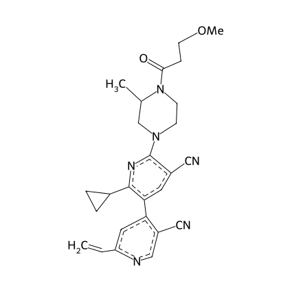 C=Cc1cc(-c2cc(C#N)c(N3CCN(C(=O)CCOC)C(C)C3)nc2C2CC2)c(C#N)cn1